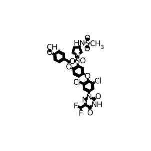 COc1ccc(COc2ccc(Oc3c(Cl)cc(-n4nc(C(F)F)c(=O)[nH]c4=O)cc3Cl)cc2S(=O)(=O)N2CCC(NS(C)(=O)=O)C2)cc1